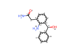 NC(=O)Cc1cccc([C@@H](O)c2ccccc2)c1N